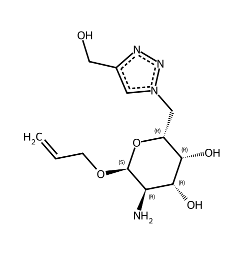 C=CCO[C@H]1O[C@H](Cn2cc(CO)nn2)[C@H](O)[C@H](O)[C@H]1N